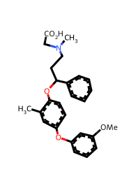 COc1cccc(Oc2ccc(OC(CCN(C)CC(=O)O)c3ccccc3)c(C)c2)c1